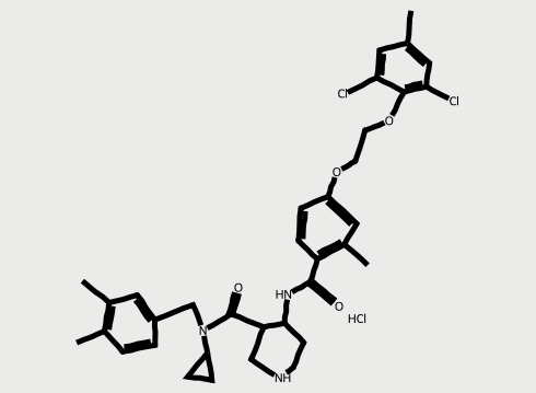 Cc1cc(Cl)c(OCCOc2ccc(C(=O)NC3CCNCC3C(=O)N(Cc3ccc(C)c(C)c3)C3CC3)c(C)c2)c(Cl)c1.Cl